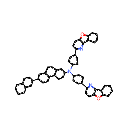 c1ccc2cc(-c3ccc4c(ccc5cc(N(c6ccc(-c7ccc8oc9ccccc9c8n7)cc6)c6ccc(-c7ccc8oc9ccccc9c8n7)cc6)ccc54)c3)ccc2c1